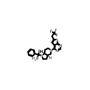 BC(B)(c1ccccc1)N1CC[C@@H]2CN(c3ncnc4sc(CC(F)(F)F)cc34)CC[C@@H]21